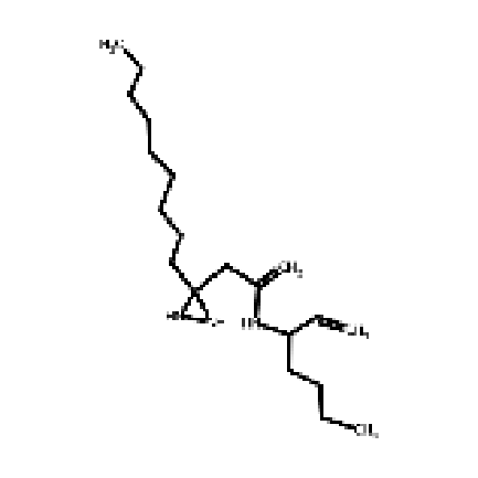 C=CC(CCCC)NC(=C)CC1(CCCCCCCCC)NN1